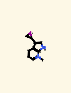 C[n+]1cccc2c(C3C[I-]3)c[nH]c21